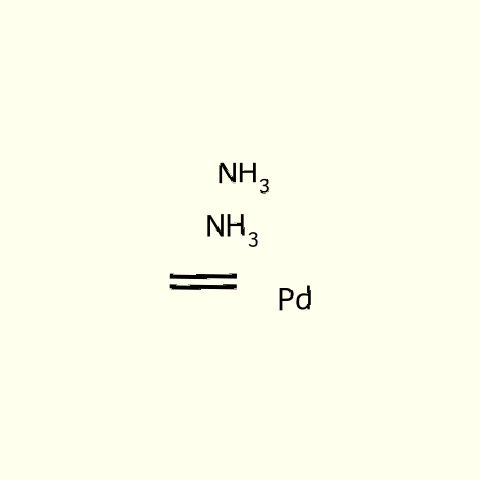 C=C.N.N.[Pd]